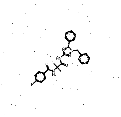 CC(C)(NC(=O)c1ccc(F)cc1)C(=O)Nc1nc(-c2ccccc2)n(Cc2ccccc2)n1